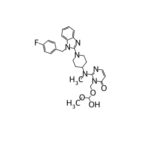 COC(O)OCn1c(N(C)C2CCN(c3nc4ccccc4n3Cc3ccc(F)cc3)CC2)nccc1=O